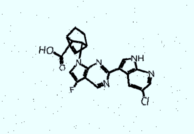 O=C(O)C1C2C=CC(CC2)C1n1cc(F)c2cnc(-c3c[nH]c4ncc(Cl)cc34)nc21